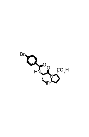 CC(C)C[C@H](NC(=O)c1ccc(Br)cc1)C(=O)N1CCC[C@H]1C(=O)O